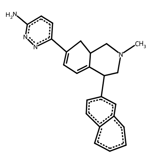 CN1CC2CC(c3ccc(N)nn3)=CC=C2C(c2ccc3ccccc3c2)C1